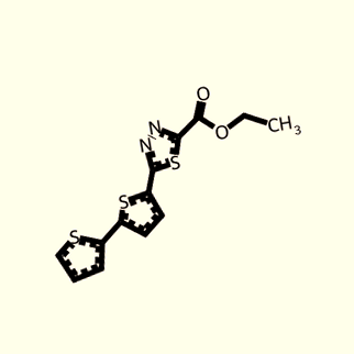 CCOC(=O)c1nnc(-c2ccc(-c3cccs3)s2)s1